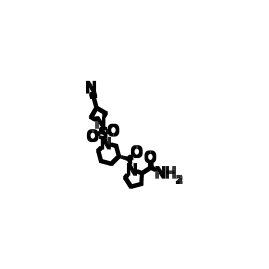 N#CC1CN(S(=O)(=O)N2CCC[C@H](C(=O)N3CCCC3C(N)=O)C2)C1